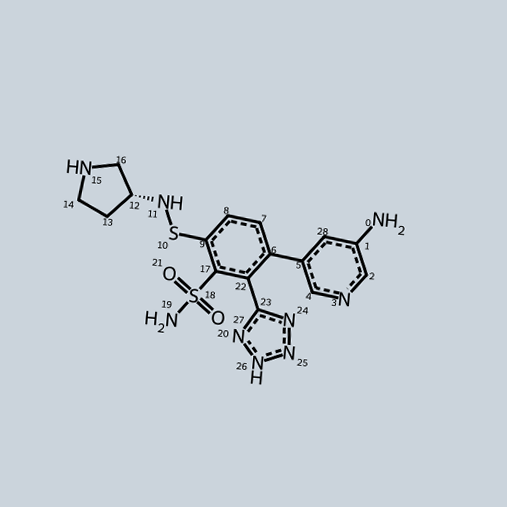 Nc1cncc(-c2ccc(SN[C@@H]3CCNC3)c(S(N)(=O)=O)c2-c2nn[nH]n2)c1